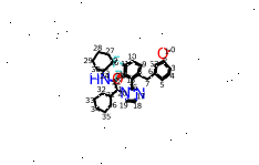 COc1cccc(Cc2ccc(F)c(F)c2-c2nccn2C(C(=O)NC2CCCCC2)C2CCCCC2)c1